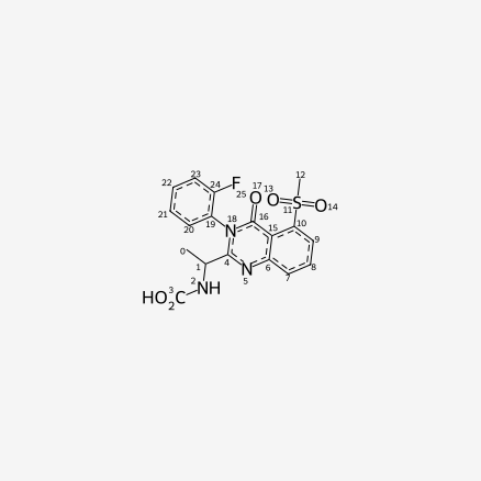 CC(NC(=O)O)c1nc2cccc(S(C)(=O)=O)c2c(=O)n1-c1ccccc1F